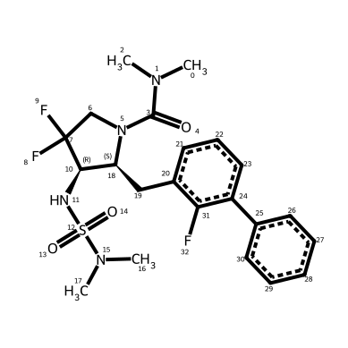 CN(C)C(=O)N1CC(F)(F)[C@H](NS(=O)(=O)N(C)C)[C@@H]1Cc1cccc(-c2ccccc2)c1F